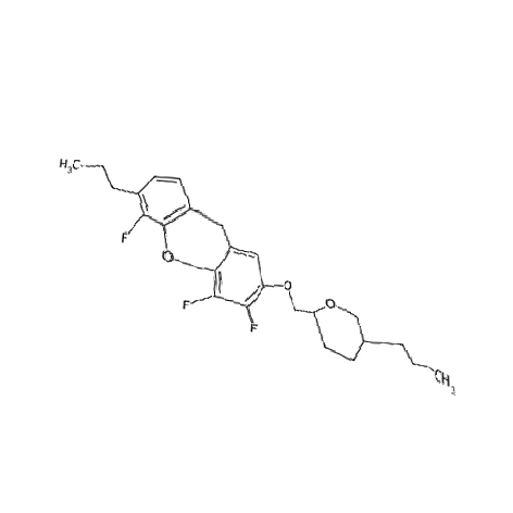 CCCc1ccc2c(c1F)Oc1c(cc(OCC3CCC(CCC)CO3)c(F)c1F)C2